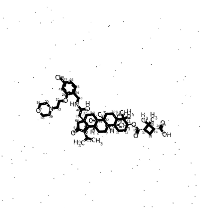 CC(C)C1=C2[C@H]3CC[C@@H]4[C@@]5(C)CC[C@H](OC(=O)[C@H]6C[C@@H](C(=O)O)C6(C)C)C(C)(C)[C@@H]5CC[C@@]4(C)[C@]3(C)CC[C@@]2(CC(O)NCc2ccc(Cl)cc2OCCN2CCOCC2)CC1=O